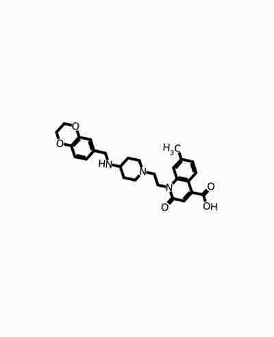 Cc1ccc2c(C(=O)O)cc(=O)n(CCN3CCC(NCc4ccc5c(c4)OCCO5)CC3)c2c1